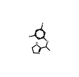 CC(Oc1cc(F)cc(F)c1)C1=NCCN1